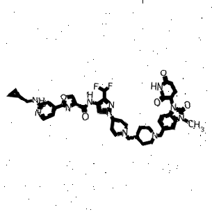 Cn1c(=O)n(C2CCC(=O)NC2=O)c2ccc(CN3CCC(CN4CCC(n5cc(NC(=O)c6coc(-c7ccnc(NCC8CC8)c7)n6)c(C(F)F)n5)CC4)CC3)cc21